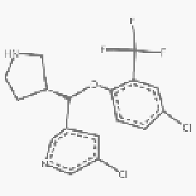 FC(F)(F)c1cc(Cl)ccc1OC(c1cncc(Cl)c1)[C@H]1CCNC1